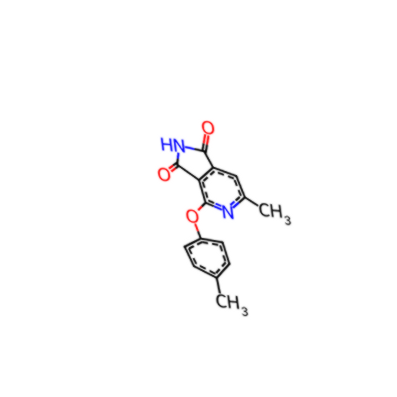 Cc1ccc(Oc2nc(C)cc3c2C(=O)NC3=O)cc1